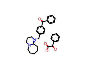 O=C([O-])C(=O)c1ccccc1.O=C(c1ccccc1)c1ccc(C[N+]2=C3CCCCCN3CCC2)cc1